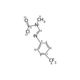 CN(C=Nc1ccc(C(F)(F)F)cc1)C(=O)Cl